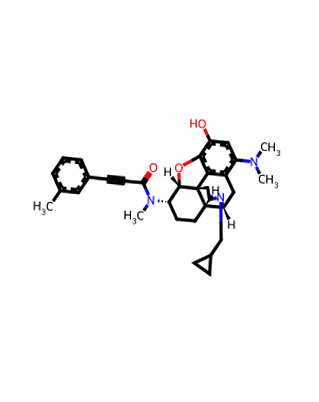 Cc1cccc(C#CC(=O)N(C)[C@H]2CC[C@H]3[C@H]4Cc5c(N(C)C)cc(O)c6c5[C@@]3(CCN4CC3CC3)[C@H]2O6)c1